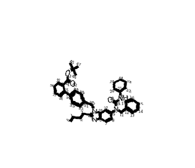 CCCCc1nc2ccc(N(Cc3ccccc3)C(=O)NC3CCCCC3)cc2n1Cc1ccc(-c2ccccc2C(=O)OC(C)(C)C)cc1